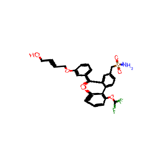 NS(=O)(=O)Cc1ccc2c(c1)C(c1cccc(OCC=CCO)c1)Oc1cccc(OC(F)F)c1-2